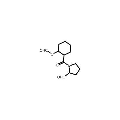 O=COC1CCCCC1C(=O)N1CCCC1C=O